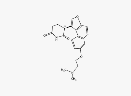 CN(C)CCOc1ccc2c(ccc3occ([C@@H]4CCC(=O)NC4=O)c32)c1